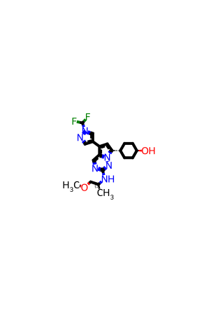 COC[C@H](C)Nc1ncc2c(-c3cnn(C(F)F)c3)cc([C@H]3CC[C@H](O)CC3)n2n1